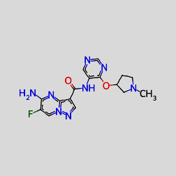 CN1CCC(Oc2ncncc2NC(=O)c2cnn3cc(F)c(N)nc23)C1